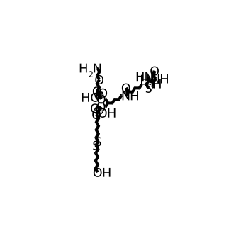 NCCOCCOP(=O)(O)OCC(CCCCNC(=O)CCCC[C@H]1SC[C@@H]2NC(=O)N[C@@H]21)COP(=O)(O)OCCCCCCSSCCCCCCO